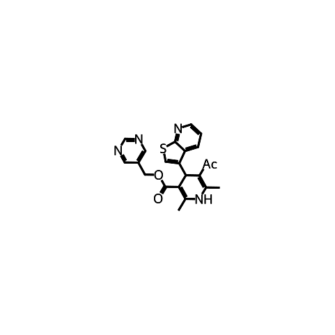 CC(=O)C1=C(C)NC(C)=C(C(=O)OCc2cncnc2)C1c1csc2ncccc12